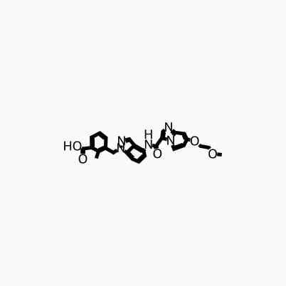 COCCOc1ccn2c(C(=O)Nc3cccc4c3cnn4Cc3cccc(C(=O)O)c3C)cnc2c1